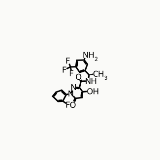 C[C@@H](NC(=O)c1nn(-c2ccccc2F)c(=O)cc1O)c1cc(N)cc(C(F)(F)F)c1